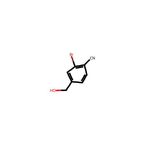 N#Cc1ccc([CH]O)cc1Br